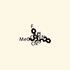 COc1ccc2c(c1)N(c1ccc(F)cc1)C(=O)C2(CCC#N)NC(=O)c1cc2ccccc2cn1